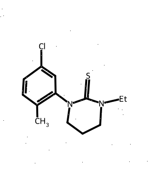 CCN1CCCN(c2cc(Cl)ccc2C)C1=S